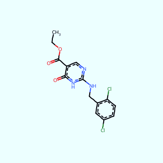 CCOC(=O)c1cnc(NCc2cc(Cl)ccc2Cl)[nH]c1=O